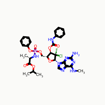 CNc1nc(N)nc2c1ncn2[C@@H]1O[C@H](COP(=O)(N[C@@H](C)C(=O)OC(C)C)Oc2ccccc2)[C@@H](OC(=O)Nc2ccccc2)[C@]1(F)Cl